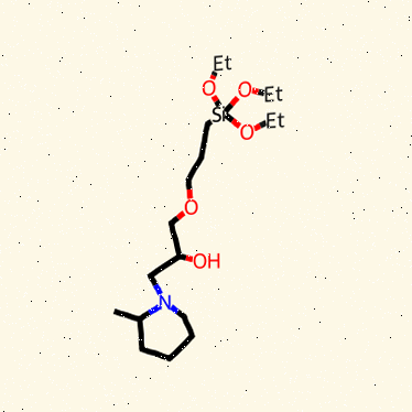 CCO[Si](CCCOCC(O)CN1CCCCC1C)(OCC)OCC